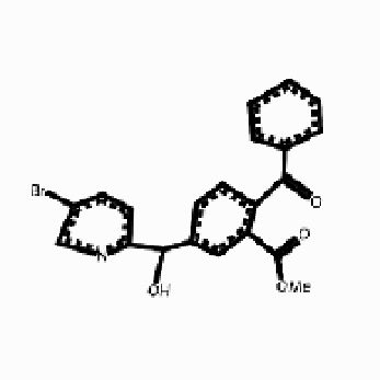 COC(=O)c1cc(C(O)c2ccc(Br)cn2)ccc1C(=O)c1ccccc1